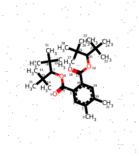 Cc1cc(C(=O)OC(C(C)(C)C)C(C)(C)C)c(C(=O)OC(C(C)(C)C)C(C)(C)C)cc1C